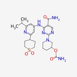 CC(C)c1cc(Nc2nc(N3CCCC(OC(N)=O)C3)ncc2C(N)=O)cc(C2CCS(=O)(=O)CC2)n1